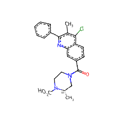 Cc1c(-c2ccccc2)nc2cc(C(=O)N3CCN(C(=O)O)[C@@H](C)C3)ccc2c1Cl